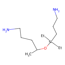 CC[Si](CC)(CCCN)OC(C)CCCN